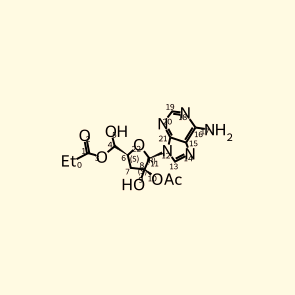 CCC(=O)OC(O)[C@@H]1C[C@](O)(OC(C)=O)[C@H](n2cnc3c(N)ncnc32)O1